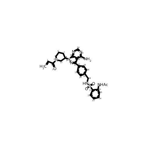 C=CC(=O)N1CCCC(n2nc(-c3ccc(CNS(=O)(=O)c4ccccc4NC(C)=O)cc3)c3c(N)ncnc32)C1